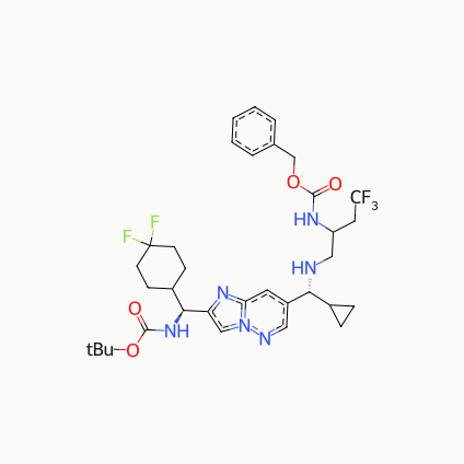 CC(C)(C)OC(=O)N[C@H](c1cn2ncc([C@H](NCC(CC(F)(F)F)NC(=O)OCc3ccccc3)C3CC3)cc2n1)C1CCC(F)(F)CC1